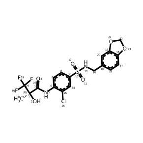 C[C@@](O)(C(=O)Nc1ccc(S(=O)(=O)NCc2ccc3c(c2)OCO3)cc1Cl)C(F)(F)F